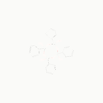 O[Si]1(c2ccccc2)O[Si](O)(c2ccccc2)O[Si](O)(c2ccccc2)O[Si](O)(c2ccccc2)O1